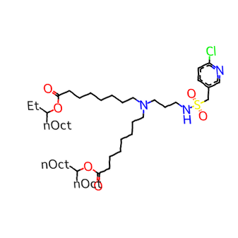 CCCCCCCCC(CC)OC(=O)CCCCCCCN(CCCCCCCC(=O)OC(CCCCCCCC)CCCCCCCC)CCCNS(=O)(=O)Cc1ccc(Cl)nc1